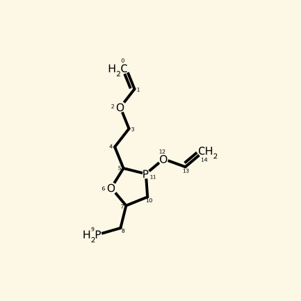 C=COCCC1OC(CP)CP1OC=C